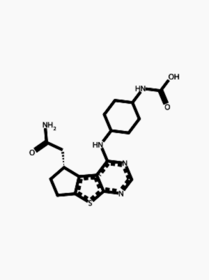 NC(=O)C[C@H]1CCc2sc3ncnc(NC4CCC(NC(=O)O)CC4)c3c21